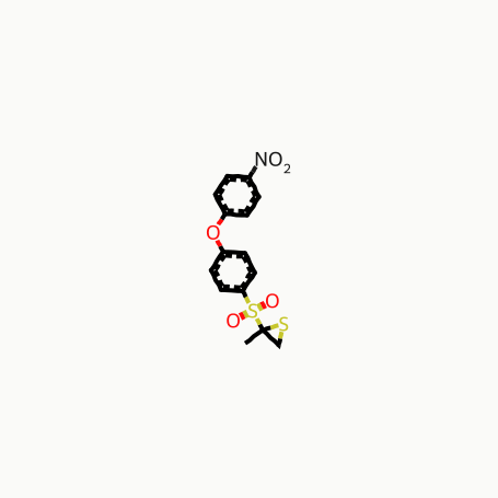 CC1(S(=O)(=O)c2ccc(Oc3ccc([N+](=O)[O-])cc3)cc2)CS1